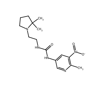 Cc1ncc(NC(=O)NCCN2CCCC2(C)C)cc1[N+](=O)[O-]